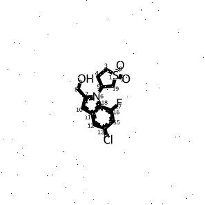 O=S1(=O)CCC(n2c(CO)cc3cc(Cl)cc(F)c32)C1